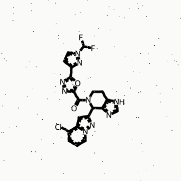 O=C(c1nnc(-c2ccn(C(F)F)n2)o1)N1CCc2[nH]cnc2C1c1cc2c(Cl)cccn2n1